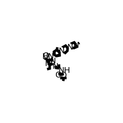 CCc1nc(C=O)c(Nc2ccc(N3CCC(N4CCN(C)CC4)CC3)c(C)c2)nc1N1CC(NC(=O)OC(C)(C)C)C1